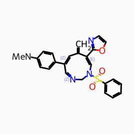 C=C1/C=C(c2ccc(NC)cc2)\C=N/CN(S(=O)(=O)c2ccccc2)/C=C\1c1ncco1